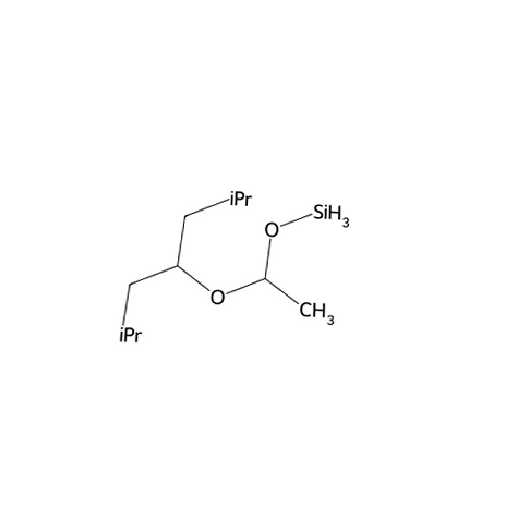 CC(C)CC(CC(C)C)OC(C)O[SiH3]